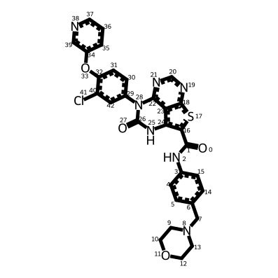 O=C(Nc1ccc(CN2CCOCC2)cc1)c1sc2ncnc3c2c1NC(=O)N3c1ccc(Oc2cccnc2)c(Cl)c1